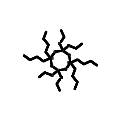 CCC[CH2][Sn]1([CH2]CCC)[O][Si](OCC)(OCC)[O][Sn]([CH2]CCC)([CH2]CCC)[O][Si](OCC)(OCC)[O]1